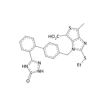 CCSc1nc2c(C)sc(C(=O)O)c2n1Cc1ccc(-c2ccccc2-c2n[nH]c(=O)[nH]2)cc1